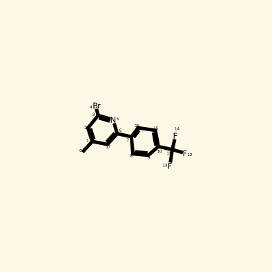 Cc1cc(Br)nc(-c2ccc(C(F)(F)F)cc2)c1